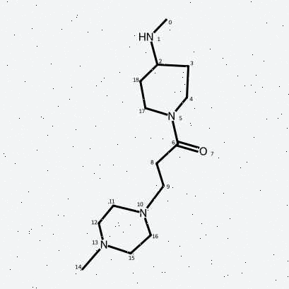 CNC1CCN(C(=O)CCN2CCN(C)CC2)CC1